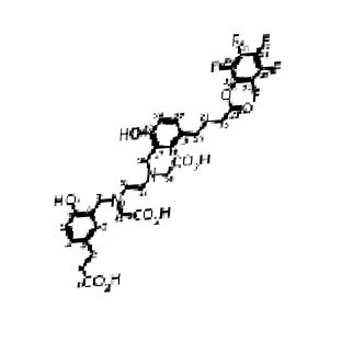 O=C(O)CCc1ccc(O)c(CN(CCN(CC(=O)O)Cc2cc(CCCC(=O)Oc3c(F)c(F)c(F)c(F)c3F)ccc2O)CC(=O)O)c1